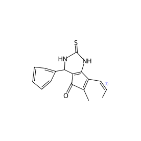 C/C=C\C1=C(C)C(=O)C2=C1NC(=S)NC2c1ccccc1